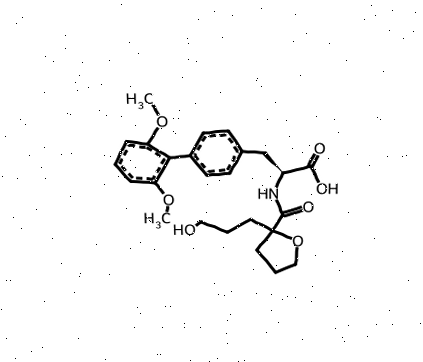 COc1cccc(OC)c1-c1ccc(C[C@H](NC(=O)C2(CCCO)CCCO2)C(=O)O)cc1